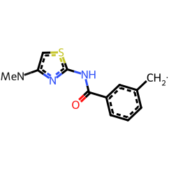 [CH2]c1cccc(C(=O)Nc2nc(NC)cs2)c1